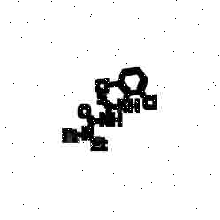 CCN(CC)C(=O)NC(=S)Nc1c(Cl)cccc1Cl